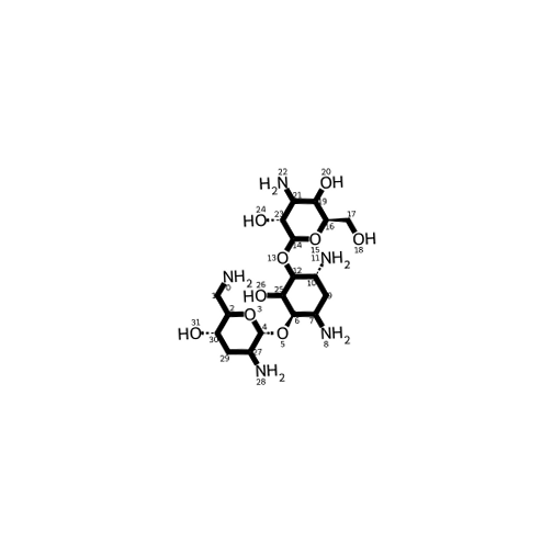 NCC1O[C@H](O[C@@H]2C(N)C[C@@H](N)C(OC3O[C@H](CO)C(O)C(N)[C@H]3O)C2O)C(N)C[C@@H]1O